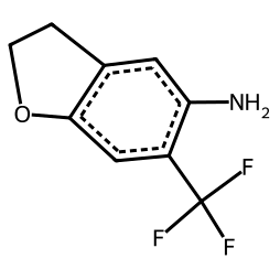 Nc1cc2c(cc1C(F)(F)F)OCC2